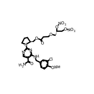 COc1ccc(CNc2nc(N3CCC[C@H]3COC(=O)CCOC[C@@H](CO[N+](=O)[O-])O[N+](=O)[O-])ncc2C(N)=O)cc1Cl